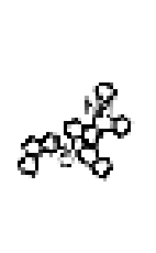 O=P(c1ccc2ccccc2c1)(c1ccc2ccc3ccccc3c2c1)c1cccc2c1ccc1c3ccccc3n3c4ccccc4nc3c21